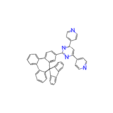 c1ccc2c(c1)-c1ccccc1C1(c3cc(-c4nc(-c5ccncc5)cc(-c5ccncc5)n4)ccc3-2)c2ccccc2-c2ccccc21